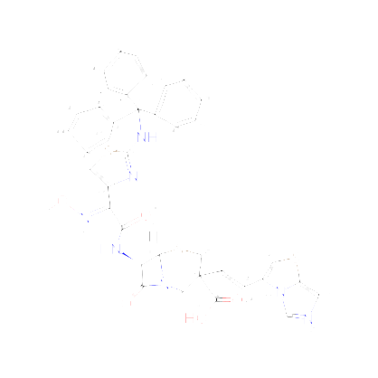 CON=C(C(=O)N[C@@H]1C(=O)N2CC(C=Cc3csc4cncn34)(C(=O)O)CS[C@H]12)c1csc(NC(c2ccccc2)(c2ccccc2)c2ccccc2)n1